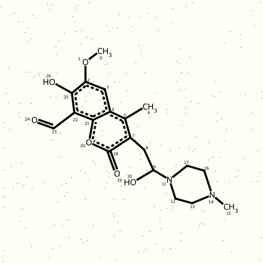 COc1cc2c(C)c(CC(O)N3CCN(C)CC3)c(=O)oc2c(C=O)c1O